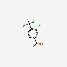 CC(=O)c1ccc(C(C)(F)F)c(F)c1